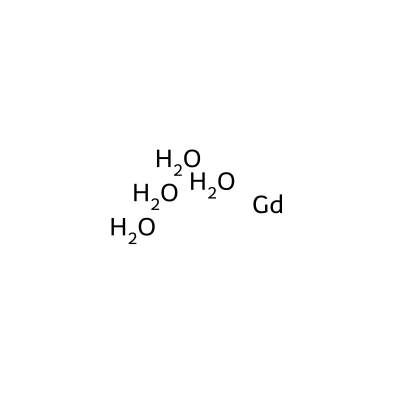 O.O.O.O.[Gd]